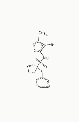 Cc1noc(NS(=O)(=O)C2(Oc3ccccc3)C=CSC2)c1Br